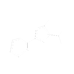 O=Cc1oc(-c2ccccn2)nc1C(F)F